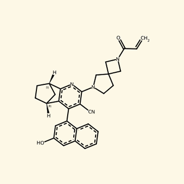 C=CC(=O)N1CC2(CCN(c3nc4c(c(-c5cc(O)cc6ccccc56)c3C#N)[C@@H]3CC[C@H]4C3)C2)C1